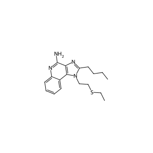 CCCCc1nc2c(N)nc3ccccc3c2n1CCSCC